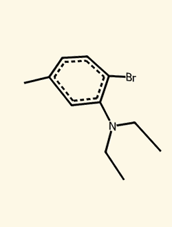 CCN(CC)c1cc(C)ccc1Br